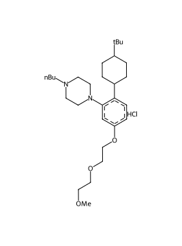 CCCCN1CCN(c2cc(OCCOCCOC)ccc2C2CCC(C(C)(C)C)CC2)CC1.Cl